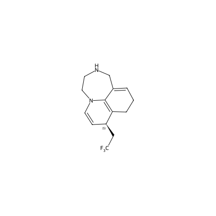 FC(F)(F)C[C@H]1C=CN2CCNCC3=CCCC1=C32